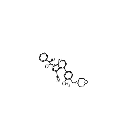 Cc1cc(-c2ccnc3c2c(C#N)cn3S(=O)(=O)c2ccccc2)ccc1CN1CCOCC1